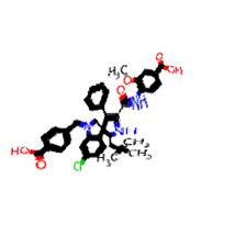 COc1cc(C(=O)O)ccc1NC(=O)[C@@H]1N[C@@H](CC(C)(C)C)[C@@]2(CN(Cc3ccc(C(=O)O)cc3)c3cc(Cl)ccc32)[C@H]1c1ccccc1